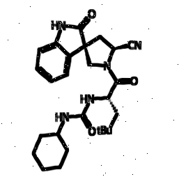 CC(C)(C)C[C@H](NC(=O)NC1CCCCC1)C(=O)N1C[C@]2(C[C@H]1C#N)C(=O)Nc1ccccc12